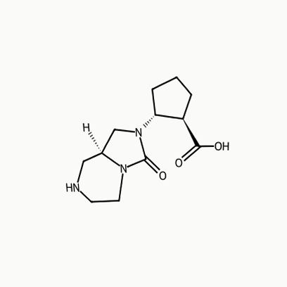 O=C(O)[C@@H]1CCC[C@H]1N1C[C@@H]2CNCCN2C1=O